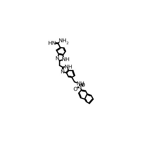 N=C(N)c1ccc2[nH]c(Cc3nc4cc(CNS(=O)(=O)c5ccc6ccccc6c5)ccc4[nH]3)nc2c1